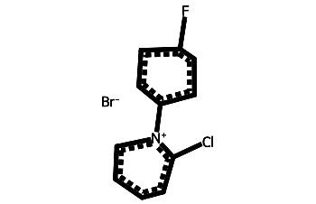 Fc1ccc(-[n+]2ccccc2Cl)cc1.[Br-]